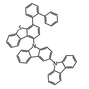 c1ccc(-c2ccccc2-c2ccc(-n3c4ccccc4c4cc(-n5c6ccccc6c6ccccc65)ccc43)c3c2sc2ccccc23)cc1